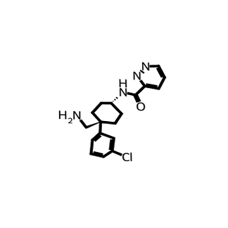 NC[C@]1(c2cccc(Cl)c2)CC[C@@H](NC(=O)c2cccnn2)CC1